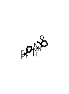 O=C1CCCc2nc(Nc3cccc(C(F)(F)F)c3)ncc21